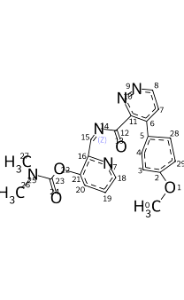 COc1ccc(-c2ccnnc2C(=O)/N=C\c2ncccc2OC(=O)N(C)C)cc1